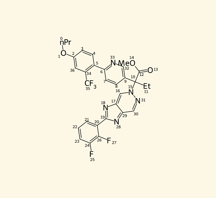 CCCOc1ccc(-c2ccc(C(CC)(C(=O)OC)n3cc4nc(-c5cccc(F)c5F)nc-4cn3)cn2)c(C(F)(F)F)c1